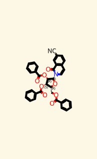 N#Cc1ccc2ccn([C@@H]3O[C@H](COC(=O)c4ccccc4)[C@H](OC(=O)c4ccccc4)[C@H]3OC(=O)c3ccccc3)c(=O)c2c1